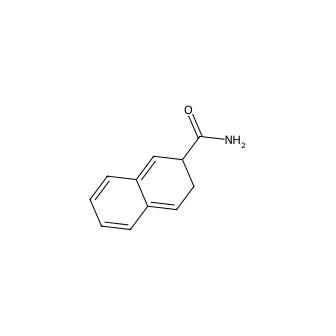 NC(=O)C1C=c2ccccc2=CC1